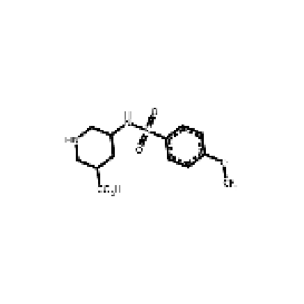 O=C(O)C1CNCC(NS(=O)(=O)c2ccc(OC(F)(F)F)cc2)C1